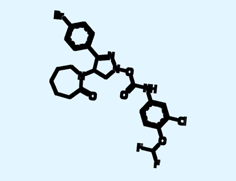 O=C(Nc1ccc(OC(F)F)c(Cl)c1)ON1CC(N2CCCCCC2=O)C(c2ccc(Br)cc2)=N1